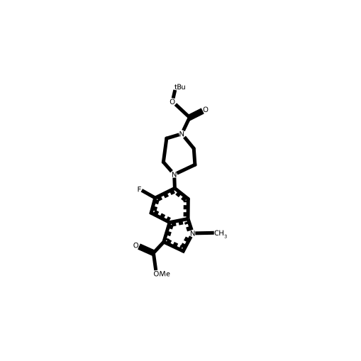 COC(=O)c1cn(C)c2cc(N3CCN(C(=O)OC(C)(C)C)CC3)c(F)cc12